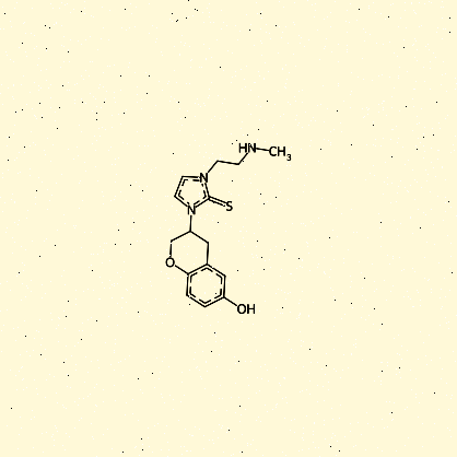 CNCCn1ccn(C2COc3ccc(O)cc3C2)c1=S